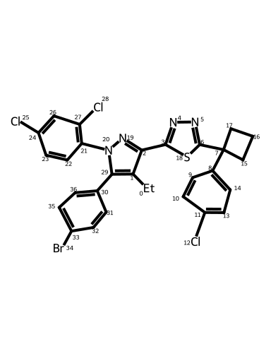 CCc1c(-c2nnc(C3(c4ccc(Cl)cc4)CCC3)s2)nn(-c2ccc(Cl)cc2Cl)c1-c1ccc(Br)cc1